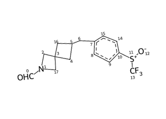 O=CN1CC2(CC(Cc3ccc([S+]([O-])C(F)(F)F)cc3)C2)C1